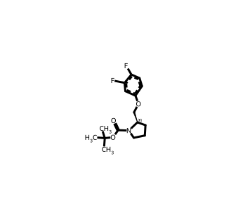 CC(C)(C)OC(=O)N1CCC[C@@H]1COc1ccc(F)c(F)c1